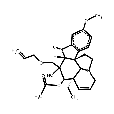 C=CCOCC1(O)[C@H](OC(C)=O)[C@]2(CC)C=CCN3CC[C@@]4(c5ccc(OC)cc5N(C)[C@@H]14)C32